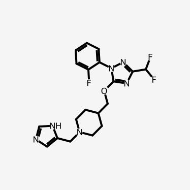 Fc1ccccc1-n1nc(C(F)F)nc1OCC1CCN(Cc2cnc[nH]2)CC1